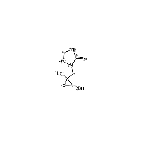 BC1OC1(C)CN1NCNC1=S